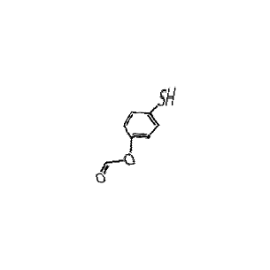 O=COc1ccc(S)cc1